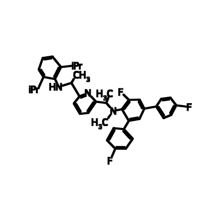 CC(C)c1cccc(C(C)C)c1NC(C)c1cccc(C(C)N(C)c2c(F)cc(-c3ccc(F)cc3)cc2-c2ccc(F)cc2)n1